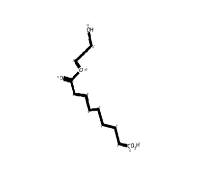 O=C(O)CCCCCCCC(=O)OCCO